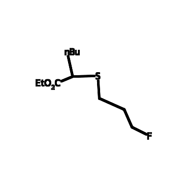 CCCCC(SCCCF)C(=O)OCC